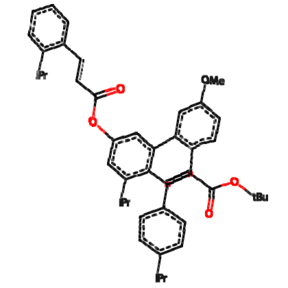 COc1ccc(/C=C/c2ccc(C(C)C)cc2)c(-c2cc(OC(=O)/C=C/c3ccccc3C(C)C)cc(C(C)C)c2/C=C/C(=O)OC(C)(C)C)c1